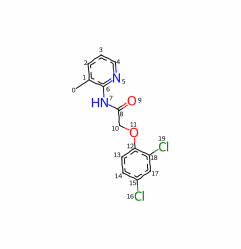 Cc1cccnc1NC(=O)COc1ccc(Cl)cc1Cl